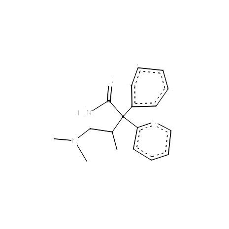 CC(CN(C)C)C(C(N)=O)(c1ccccc1)c1ccccn1